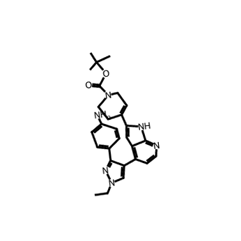 CCn1cc(-c2ccnc3[nH]c(C4=CCN(C(=O)OC(C)(C)C)CC4)cc23)c(-c2ccc(N)cc2)n1